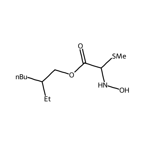 CCCCC(CC)COC(=O)C(NO)SC